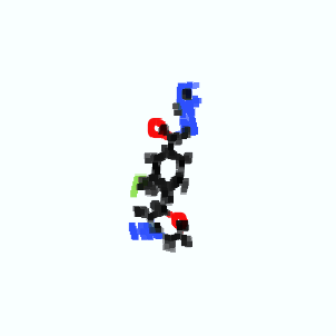 [N-]=[N+]=NC(=O)c1ccc(C2CNCCO2)c(F)c1